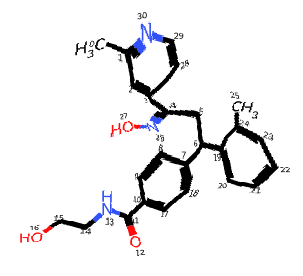 Cc1cc(C(CC(c2ccc(C(=O)NCCO)cc2)c2ccccc2C)=NO)ccn1